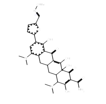 CO/N=C/c1ccc(-c2cc(N(C)C)c3c(c2O)C(=O)C2=C(O)C4(O)C(=O)C(C(N)=O)=C(O)C(N(C)C)C4CC2C3)s1